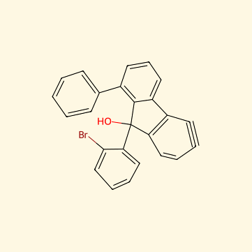 OC1(c2ccccc2Br)c2ccc#cc2-c2cccc(-c3ccccc3)c21